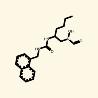 CCCCC(CN(O)C=O)NC(=O)NCc1cccc2ccccc12